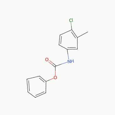 Cc1cc(NC(=O)Oc2ccccc2)ccc1Cl